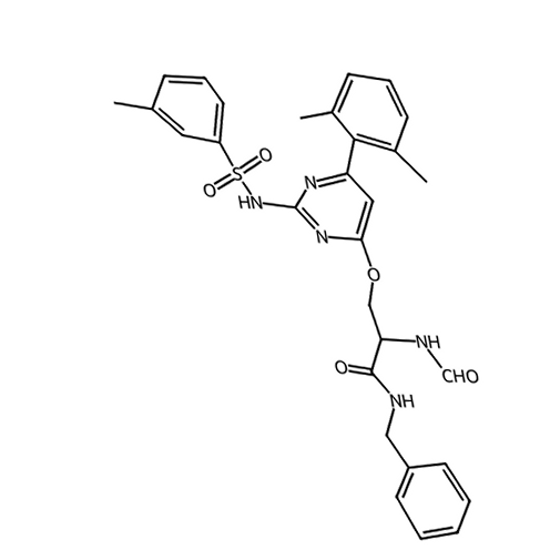 Cc1cccc(S(=O)(=O)Nc2nc(OCC(NC=O)C(=O)NCc3ccccc3)cc(-c3c(C)cccc3C)n2)c1